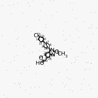 COc1nc(N2CCN(c3ccc(Cl)cc3)CC2)c2ccc(CC(=O)O)cc2n1